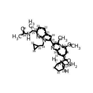 COc1cc(C(=O)N2[C@H]3CC[C@@H]2[C@H](N)C3)cc2nc(-c3cc4ccc([C@@H](C)NC(C)=O)nc4n3CC3CC3)c(C)n12